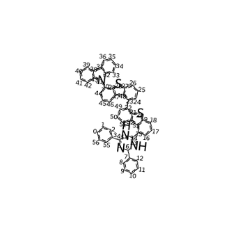 c1ccc(C2=NC(c3ccccc3)NC(c3cccc4sc5c(-c6cccc7sc8c(-n9c%10ccccc%10c%10ccccc%109)cccc8c67)cccc5c34)N2)cc1